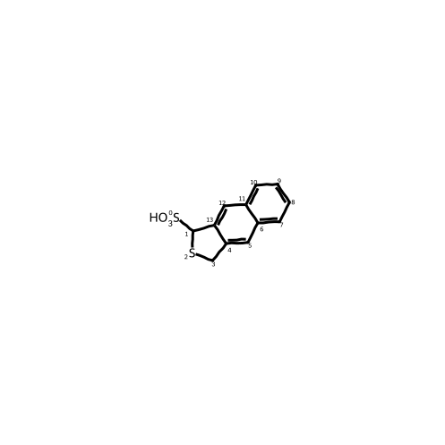 O=S(=O)(O)C1SCc2cc3ccccc3cc21